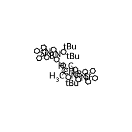 Cc1ccc2c(c1)N(c1cc(C(C)(C)C)cc(C(C)(C)Cc3cccc(-c4ccc5c(c4)N(c4cc(C(C)(C)C)cc(C(C)(C)C)c4)c4cccc6c4B5c4cccc5c4N6c4ccccc4[Si]5(c4ccccc4)c4ccccc4)c3)c1)c1cccc3c1B2c1cccc2c1N3c1ccccc1[Si]2(c1ccccc1)c1ccccc1